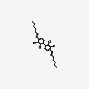 CCCCCN=Nc1ccc(-c2ccc(N=NCCCCC)c(Cl)c2Cl)c(Cl)c1Cl